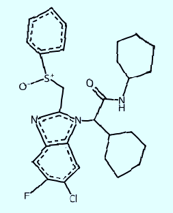 O=C(NC1CCCCC1)C(C1CCCCC1)n1c(C[S+]([O-])c2ccccc2)nc2cc(F)c(Cl)cc21